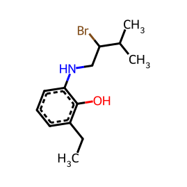 CCc1cccc(NCC(Br)C(C)C)c1O